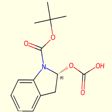 CC(C)(C)OC(=O)N1c2ccccc2C[C@H]1OC(=O)O